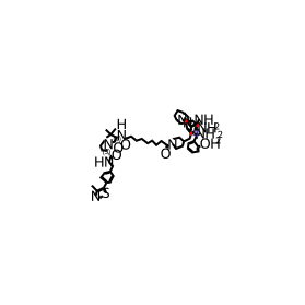 Cc1ncsc1-c1ccc(CNC(=O)[C@@H]2CCCN2C(=O)[C@@H](NC(=O)CCCCCCCC(=O)N2CCC(Cc3cccc(N4C5CCC4CN(C(/C=C(\N)c4ccccc4O)=C(N)N)C5)c3)CC2)C(C)(C)C)cc1